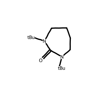 CC(C)(C)N1CCCCN(C(C)(C)C)C1=O